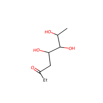 CCC(=O)CC(O)C(O)C(C)O